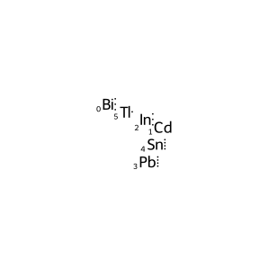 [Bi].[Cd].[In].[Pb].[Sn].[Tl]